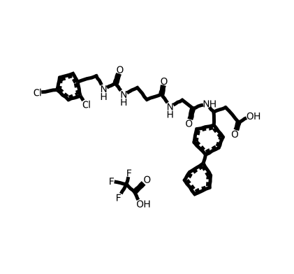 O=C(O)C(F)(F)F.O=C(O)CC(NC(=O)CNC(=O)CCNC(=O)NCc1ccc(Cl)cc1Cl)c1ccc(-c2ccccc2)cc1